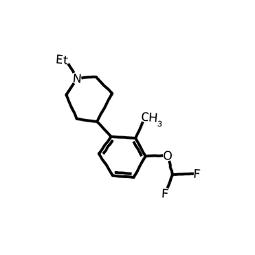 CCN1CCC(c2cccc(OC(F)F)c2C)CC1